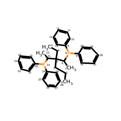 CCCC(CC)(C(C)P(c1ccccc1)c1ccccc1)C(C)P(c1ccccc1)c1ccccc1